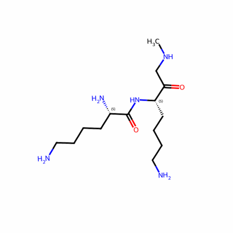 CNCC(=O)[C@H](CCCCN)NC(=O)[C@@H](N)CCCCN